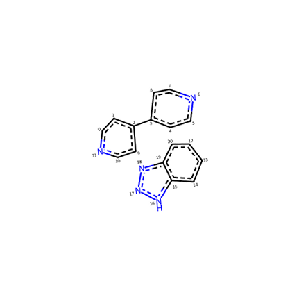 c1cc(-c2ccncc2)ccn1.c1ccc2[nH]nnc2c1